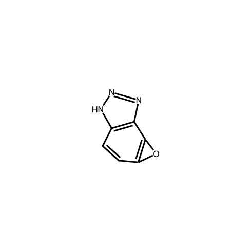 c1cc2[nH]nnc2c2c1O2